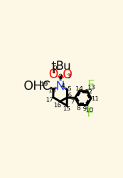 CC(C)(C)OC(=O)N1CC2(c3cc(F)cc(F)c3)CC2CC1C=O